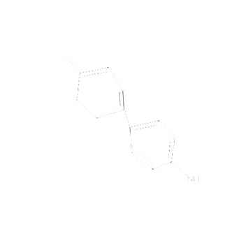 CC1=CC=C(c2ccc(N)cc2)CC1